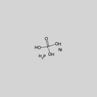 O=P(O)(O)O.P.[Ni]